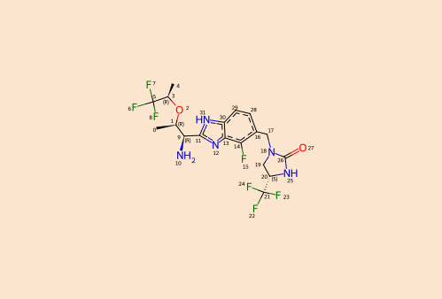 C[C@@H](O[C@H](C)C(F)(F)F)[C@H](N)c1nc2c(F)c(CN3C[C@@H](C(F)(F)F)NC3=O)ccc2[nH]1